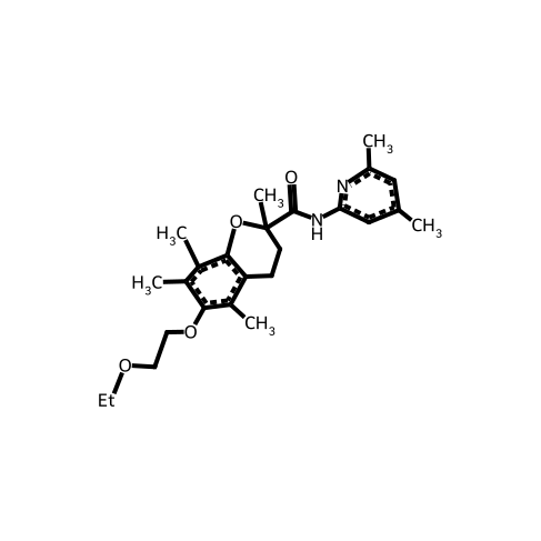 CCOCCOc1c(C)c(C)c2c(c1C)CCC(C)(C(=O)Nc1cc(C)cc(C)n1)O2